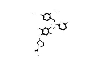 COc1ccc(CN(c2cccc(F)n2)S(=O)(=O)c2cc(C)c(NC3CCN(C(=O)OC(C)(C)C)C3)cc2F)c(OC)c1